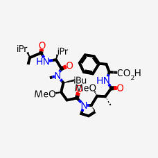 CCC(C)[C@@H]([C@@H](CC(=O)N1CCC[C@H]1[C@H](OC)[C@@H](C)C(=O)NC(Cc1ccccc1)C(=O)O)OC)N(C)C(=O)[C@@H](NC(=O)[C@@H](C)C(C)C)C(C)C